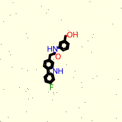 O=C(Cc1ccc2c(c1)[nH]c1cc(F)ccc12)Nc1cccc(CO)c1